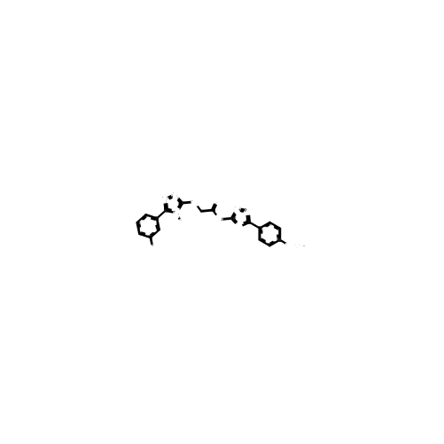 CCn1c(SCC(=O)Nc2nnc(-c3ccc(OC)cc3)s2)nnc1-c1cccc(F)c1